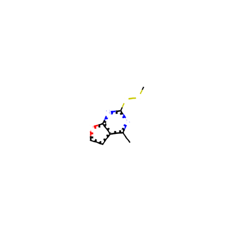 CSSc1nc(C)c2ccoc2n1